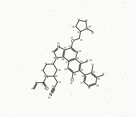 C=CC(=O)N1CCC(n2cnc3c(OCC4CCCN4C)nc4c(F)c(-c5cccc(C)c5C)c(Cl)cc4c32)CC1CC#N